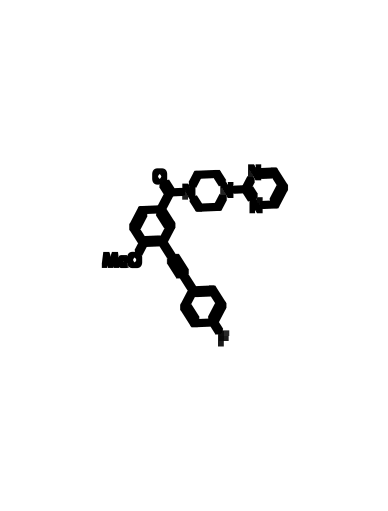 COc1ccc(C(=O)N2CCN(c3ncccn3)CC2)cc1C#Cc1ccc(F)cc1